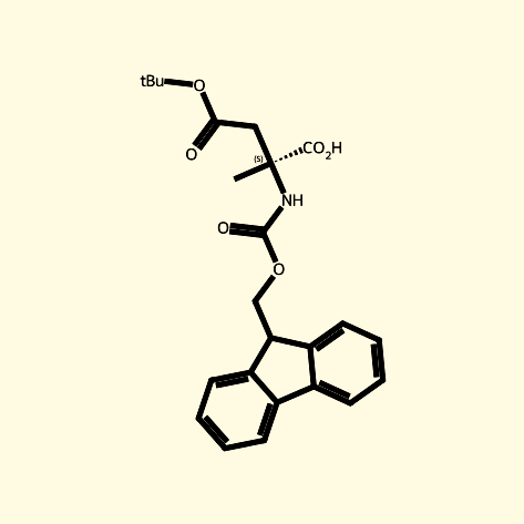 CC(C)(C)OC(=O)C[C@](C)(NC(=O)OCC1c2ccccc2-c2ccccc21)C(=O)O